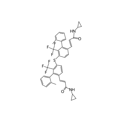 Cc1ccccc1-c1c(/C=C/C(=O)NC2CC2)ccc(Sc2ccc(/C=C/C(=O)NC3CC3)c(-c3ccccc3C)c2C(F)(F)F)c1C(F)(F)F